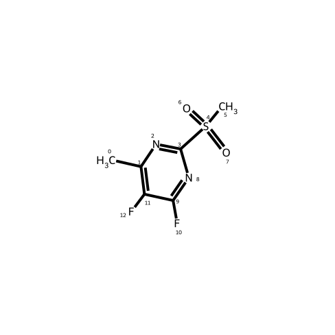 Cc1nc(S(C)(=O)=O)nc(F)c1F